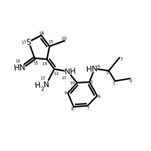 CCC(C)Nc1ccccc1N/C(N)=C1/C(=N)SC=C1C